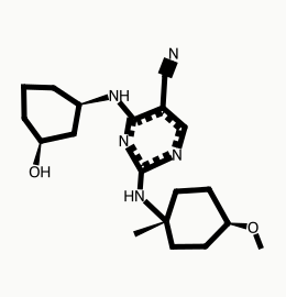 CO[C@H]1CC[C@](C)(Nc2ncc(C#N)c(N[C@@H]3CCC[C@H](O)C3)n2)CC1